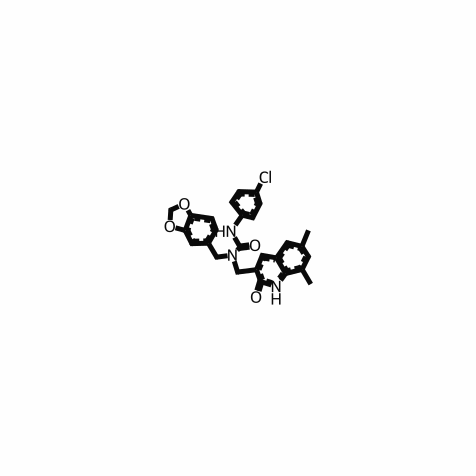 Cc1cc(C)c2[nH]c(=O)c(CN(Cc3ccc4c(c3)OCO4)C(=O)Nc3ccc(Cl)cc3)cc2c1